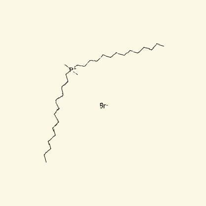 CCCCCCCCCCCCCC[P+](C)(C)CCCCCCCCCCCCCC.[Br-]